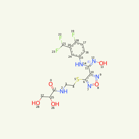 O=C(NCCSc1nonc1/C(=N\O)Nc1ccc(F)c(C(F)F)c1)C(O)CO